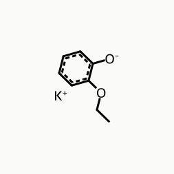 CCOc1ccccc1[O-].[K+]